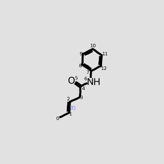 C/C=C/CC(=O)Nc1ccccc1